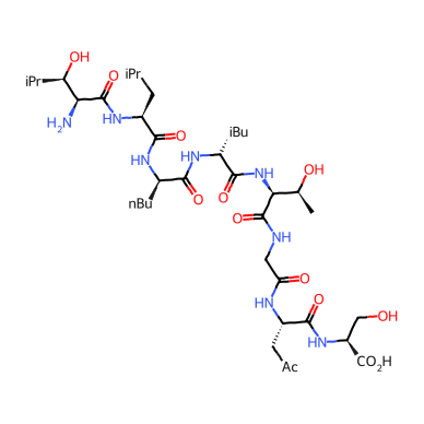 CCCC[C@@H](NC(=O)[C@H](CC(C)C)NC(=O)[C@@H](N)[C@H](O)C(C)C)C(=O)NC(C(=O)N[C@H](C(=O)NCC(=O)N[C@@H](CC(C)=O)C(=O)N[C@@H](CO)C(=O)O)[C@H](C)O)[C@@H](C)CC